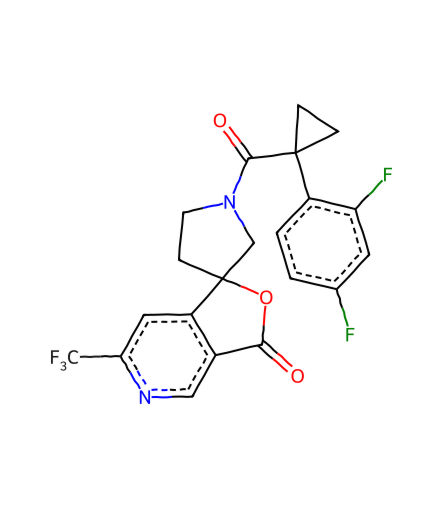 O=C1OC2(CCN(C(=O)C3(c4ccc(F)cc4F)CC3)C2)c2cc(C(F)(F)F)ncc21